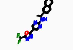 CC(Nc1ncc(-c2nnc(C(F)F)o2)cn1)c1ccc2ccccc2c1